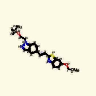 COCOc1ccc2nc(/C=C/c3ccc4c(cnn4CCO[Si](C)(C)C(C)(C)C)c3)sc2c1